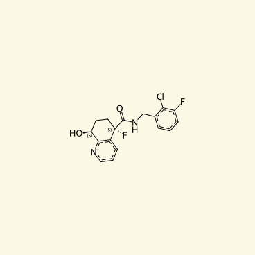 O=C(NCc1cccc(F)c1Cl)[C@]1(F)CC[C@H](O)c2ncccc21